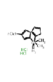 CCCCCCCCC1=CC[C]([Zr]([CH3])([CH3])(=[SiH2])[C]2=CC=CC2)=C1.Cl.Cl